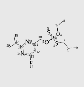 CCCS[P@@](=S)(OCC)OCc1cc(F)nc(C(C)C)n1